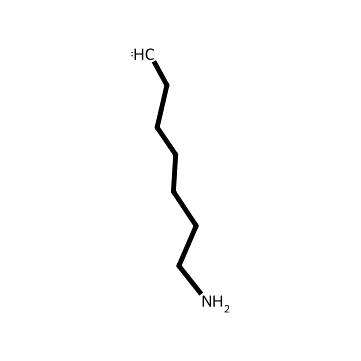 [CH]CCCCCCN